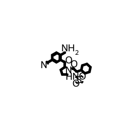 CS(=O)(=O)NC(C(=O)N1CCCC1C(=O)c1cc(C#N)ccc1CN)C1CCCCC1